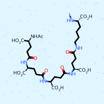 CC(=O)N[C@@H](CCC(=O)N[C@@H](CCC(=O)N[C@@H](CCC(=O)N[C@@H](CCC(=O)NCCCC[C@H](NI)C(=O)O)C(=O)O)C(=O)O)C(=O)O)C(=O)O